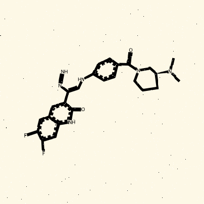 CN(C)[C@H]1CCCN(C(=O)c2ccc(N/C=C(\N=N)c3cc4cc(F)c(F)cc4[nH]c3=O)cc2)C1